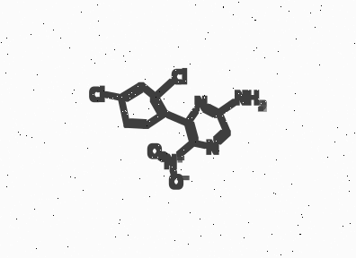 Nc1cnc([N+](=O)[O-])c(-c2ccc(Cl)cc2Cl)n1